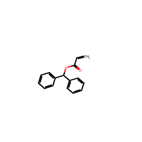 C=[C]C(=O)OC(c1ccccc1)c1ccccc1